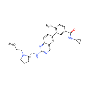 COCCN1CCC[C@H]1CNc1ncc2cc(-c3cc(C(=O)NC4CC4)ccc3C)ccc2n1